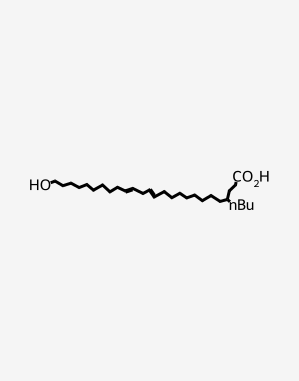 CCCCC(CCCCCCCC/C=C/C/C=C/CCCCCCCCCO)CCC(=O)O